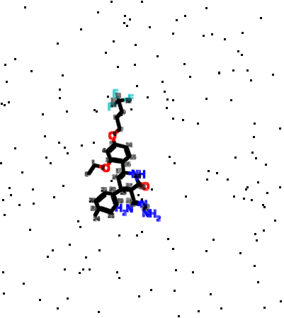 CCOc1cc(OCCCC(F)(F)F)ccc1-c1cc(-c2ccc(C)cc2)c(/C(N)=N/N)c(=O)[nH]1